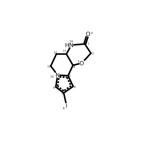 O=C1COC2c3cc(I)cn3CCC2N1